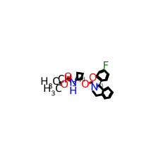 CC(C)(C)OC(=O)N[C@@H]1CC[C@H]1OC(=O)N1CCc2ccccc2[C@@H]1c1ccc(F)cc1